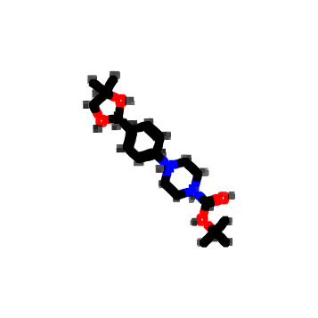 CC(C)(C)OC(=O)N1CCN(c2ccc(B3OCC(C)(C)O3)cc2)CC1